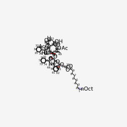 CCCCCCCC/C=C\CCCCCCCC1OC[C@@H](COC(=O)O[C@@H](C(=O)O[C@H]2C[C@@]3(O)[C@@H](OC(=O)c4ccccc4)C4[C@](C)(C(=O)[C@]5(OC(C)=O)C(C3(C)C)C25C)[C@@H](O)C[C@H]2OC[C@@]42OC(C)=O)[C@H](c2ccccc2)N(C)C(=O)c2ccccc2)O1